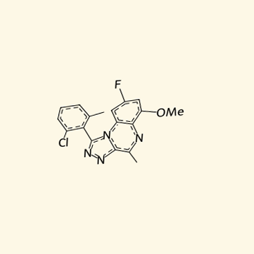 COc1cc(F)cc2c1nc(C)c1nnc(-c3c(C)cccc3Cl)n12